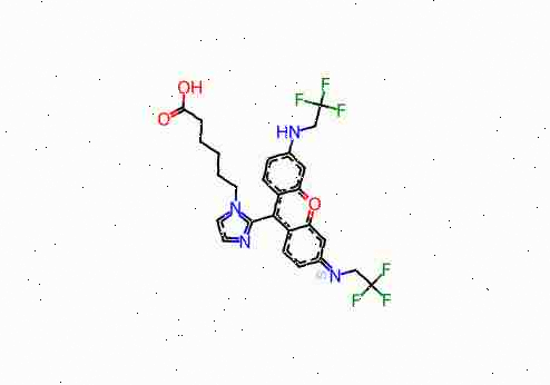 O=C(O)CCCCCn1ccnc1-c1c2cc/c(=N/CC(F)(F)F)cc-2oc2cc(NCC(F)(F)F)ccc12